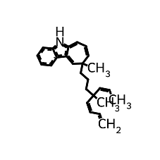 C=C/C=C\C(C)(/C=C\C)CCCC1(C)C=CC=c2[nH]c3ccccc3c2=C1